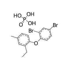 CCc1cc(C)ccc1Oc1ccc(Br)cc1Br.O=P(O)(O)O